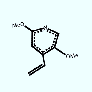 C=Cc1cc(OC)ncc1OC